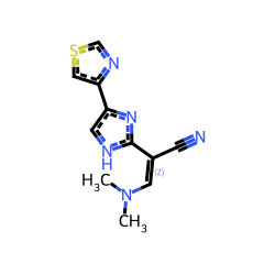 CN(C)/C=C(/C#N)c1nc(-c2cscn2)c[nH]1